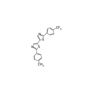 Cc1ccc(-c2ncc(-c3cnc(-c4ccc(C(F)(F)F)cc4)s3)s2)cc1